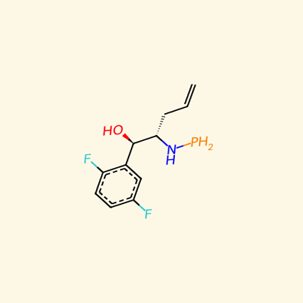 C=CC[C@H](NP)[C@H](O)c1cc(F)ccc1F